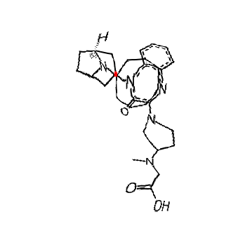 CN(CC(=O)O)C1CCN(c2nc3ccccc3n(C3CC4CC[C@@H](C3)N4C3CCCCCCC3)c2=O)C1